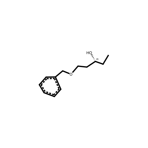 CC[C@@H](O)CCOCc1ccccc1